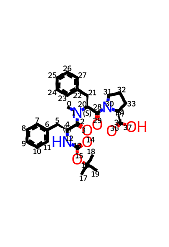 CN(C(=O)[C@H](Cc1ccccc1)NC(=O)OC(C)(C)C)[C@@H](Cc1ccccc1)C(=O)N1CCC[C@H]1C(=O)O